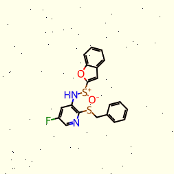 [O-][S+](Nc1cc(F)cnc1SCc1ccccc1)c1cc2ccccc2o1